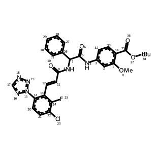 COc1cc(NC(=O)C(NC(=O)C=Cc2c(-n3ncnn3)ccc(Cl)c2F)c2ccccc2)ccc1C(=O)OC(C)(C)C